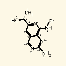 CC(C)Nc1nc([C@@H](C)O)cc2cnc(N)nc12